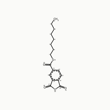 CCCCCCCCOC(=O)c1ccc2c(c1)C(=O)OC2=O